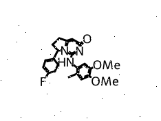 COc1cc(C)c(Nc2nc(=O)cc3n2C(C2=CC=C(F)CC2)CC3)cc1OC